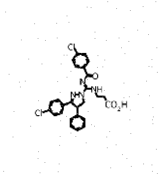 O=C(O)CCN/C(=N\C(=O)c1ccc(Cl)cc1)N1CC(c2ccccc2)C(c2ccc(Cl)cc2)=N1